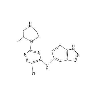 CC1CNCCN1c1ncc(Cl)c(Nc2ccc3[nH]ncc3c2)n1